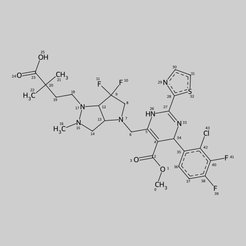 COC(=O)C1=C(CN2CC(F)(F)C3C2CN(C)N3CCC(C)(C)C(=O)O)NC(c2nccs2)=NC1c1ccc(F)c(F)c1Cl